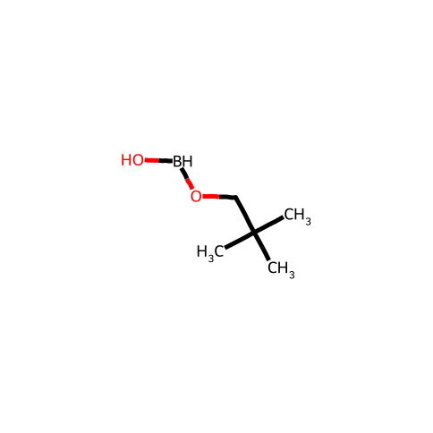 CC(C)(C)COBO